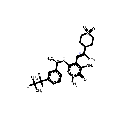 C[C@@H](Nc1nn(C)c(=O)c(N)c1/C=C(\N)C1CCS(=O)(=O)CC1)c1cccc(C(F)(F)C(C)(C)O)c1